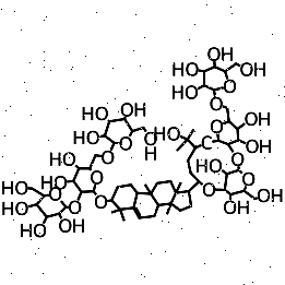 CC(C)(O)C1CCC(C2CCC3(C)C4CC=C5C(CCC(OC6OC(COC7OC(CO)C(O)C(O)C7O)C(O)C(O)C6OC6OC(CO)C(O)C(O)C6O)C5(C)C)C4(C)CCC23C)OC2C(O)C(CO)OC(OC3C(C1)OC(COC1OC(CO)C(O)C(O)C1O)C(O)C3O)C2O